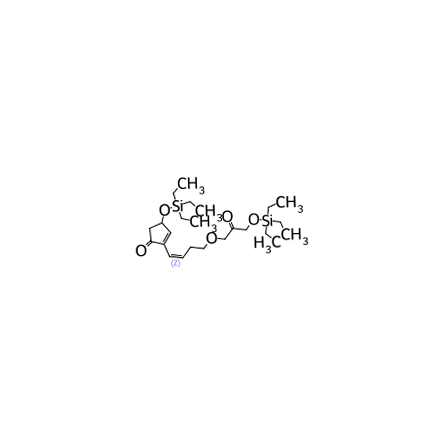 CC[Si](CC)(CC)OCC(=O)COCC/C=C\C1=CC(O[Si](CC)(CC)CC)CC1=O